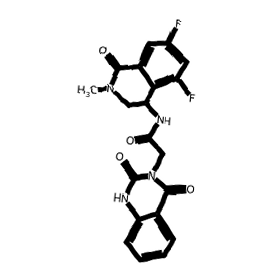 CN1CC(NC(=O)Cn2c(=O)[nH]c3ccccc3c2=O)c2c(F)cc(F)cc2C1=O